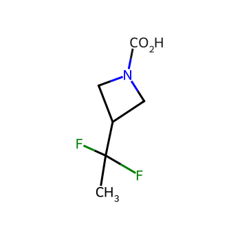 CC(F)(F)C1CN(C(=O)O)C1